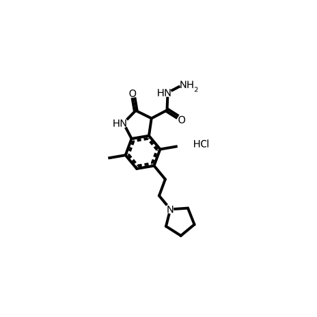 Cc1cc(CCN2CCCC2)c(C)c2c1NC(=O)C2C(=O)NN.Cl